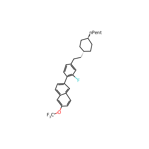 CCCCC[C@H]1CC[C@H](CCc2ccc(-c3ccc4cc(OC(F)(F)F)ccc4c3)c(F)c2)CC1